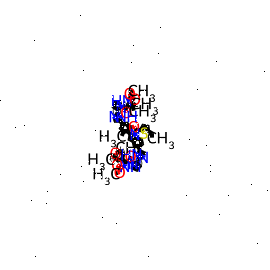 CCc1ccc(C2Oc3cc(-c4cnc([C@@H]5CCCN5C(=O)[C@@H](NC(=O)OC)C(C)C)[nH]4)cc(C)c3-c3cc4cc(-c5cnc([C@@H]6CCCN6C(=O)C(NC(=O)OC)C6C[C@@H](C)O[C@@H](C)C6)[nH]5)ccc4n32)s1